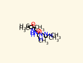 CCCCC(NC(=O)c1[nH]c2c(c1C)C(=O)CC(C)(C)C2)C(=O)NCc1cccc(CN(C)C)n1